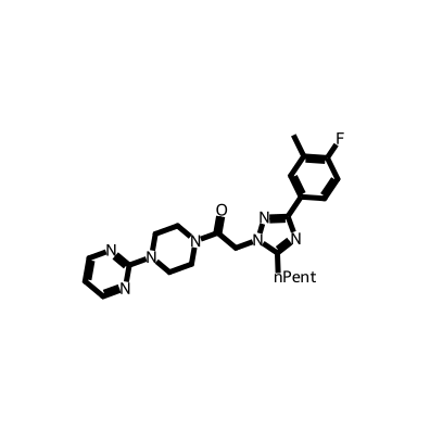 CCCCCc1nc(-c2ccc(F)c(C)c2)nn1CC(=O)N1CCN(c2ncccn2)CC1